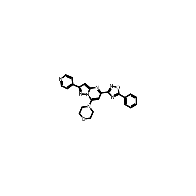 c1ccc(-c2nc(-c3cc(N4CCOCC4)n4nc(-c5ccncc5)cc4n3)no2)cc1